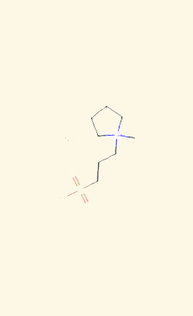 C[N+]1(CCCS(=O)(=O)O)CCCC1.[NaH]